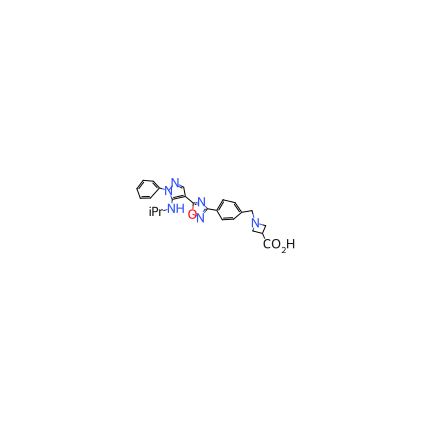 CC(C)Nc1c(-c2nc(-c3ccc(CN4CC(C(=O)O)C4)cc3)no2)cnn1-c1ccccc1